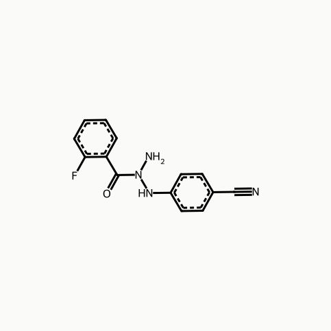 N#Cc1ccc(NN(N)C(=O)c2ccccc2F)cc1